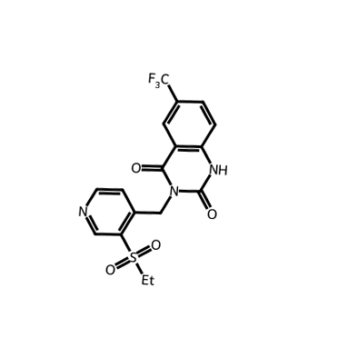 CCS(=O)(=O)c1cnccc1Cn1c(=O)[nH]c2ccc(C(F)(F)F)cc2c1=O